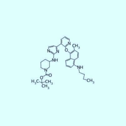 CCCCNc1cccc2c(Oc3ncccc3-c3ccnc(NC4CCCN(C(=O)OC(C)(C)C)C4)n3)c(C)ccc12